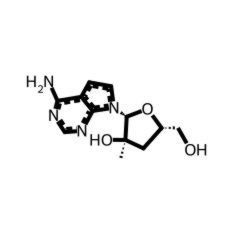 C[C@@]1(O)C[C@@H](CO)O[C@H]1n1ccc2c(N)ncnc21